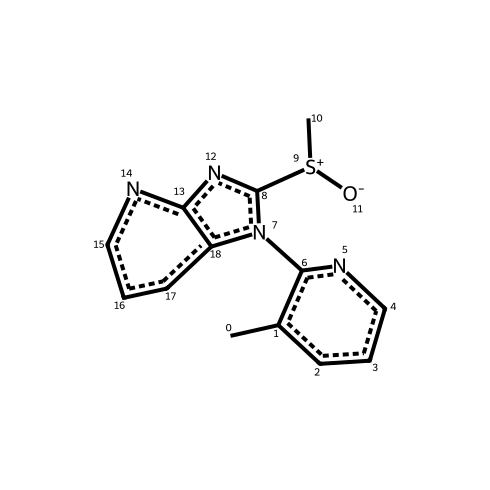 Cc1cccnc1-n1c([S+](C)[O-])nc2ncccc21